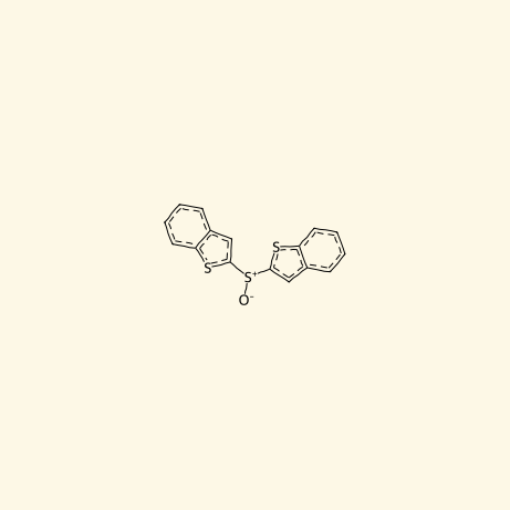 [O-][S+](c1cc2ccccc2s1)c1cc2ccccc2s1